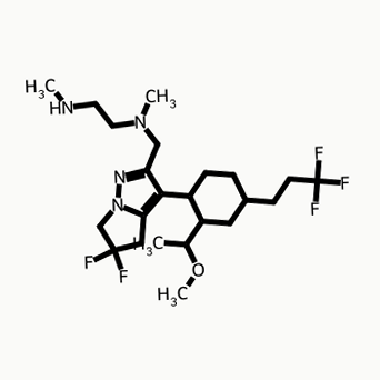 CNCCN(C)Cc1nn2c(c1C1CCC(CCC(F)(F)F)CC1C(C)OC)CC(F)(F)C2